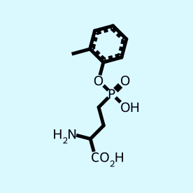 Cc1ccccc1OP(=O)(O)CCC(N)C(=O)O